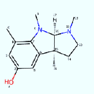 Cc1cc(O)cc2c1N(C)[C@H]1N(C)CC[C@@]21C